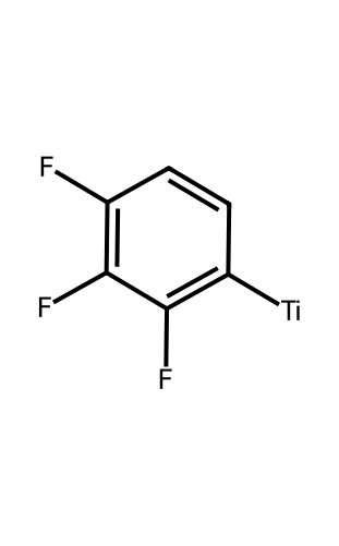 Fc1cc[c]([Ti])c(F)c1F